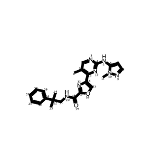 Cc1cnc(Nc2ccnn2C)nc1-c1coc(C(=O)NCC(C)(C)c2ccccc2)n1